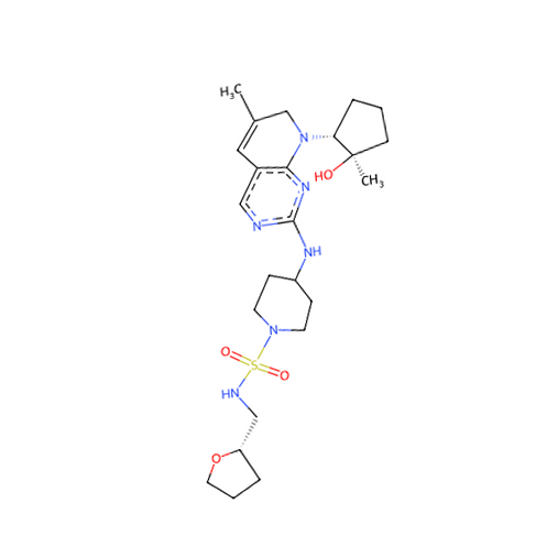 CC1=Cc2cnc(NC3CCN(S(=O)(=O)NC[C@@H]4CCCO4)CC3)nc2N([C@@H]2CCC[C@@]2(C)O)C1